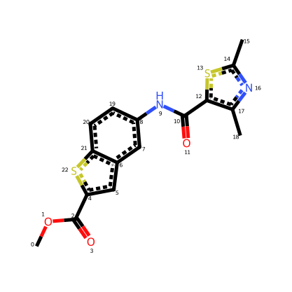 COC(=O)c1cc2cc(NC(=O)c3sc(C)nc3C)ccc2s1